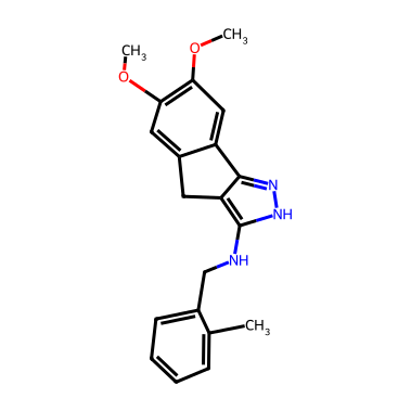 COc1cc2c(cc1OC)-c1n[nH]c(NCc3ccccc3C)c1C2